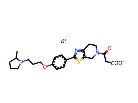 CC1CCCN1CCCOc1ccc(-c2nc3c(s2)CN(C(=O)CC(=O)[O-])CC3)cc1.[K+]